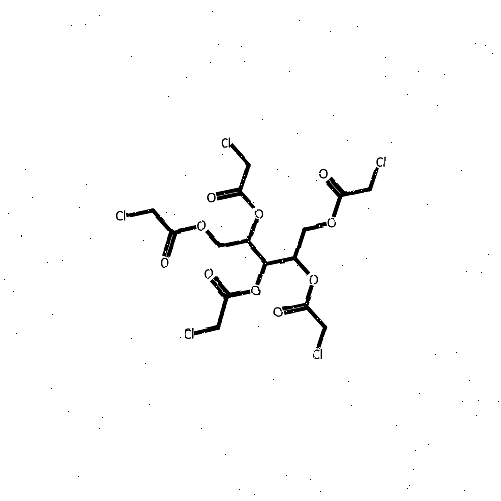 O=C(CCl)OCC(OC(=O)CCl)C(OC(=O)CCl)C(COC(=O)CCl)OC(=O)CCl